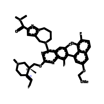 CCc1c(F)ccc2cc(OCOC)cc(-c3c(Cl)cc4c(N5CCCn6nc(C(=O)N(C)C)cc6C5)nc(OC[C@]5(C)CN(C)CC/C5=C\F)nc4c3F)c12